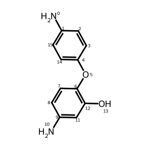 Nc1ccc(Oc2ccc(N)cc2O)cc1